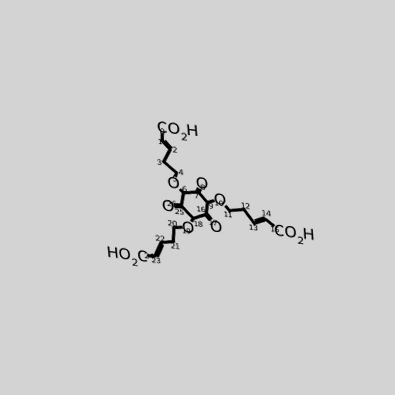 O=C(O)C=CCCOC1C(=O)C(OCCC=CC(=O)O)C(=O)C(OCCC=CC(=O)O)C1=O